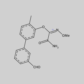 CO/N=C(/Oc1cc(-c2cccc(C=O)c2)ccc1C)C(N)=O